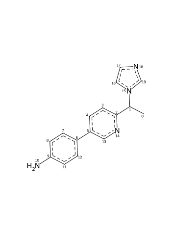 CC(c1ccc(-c2ccc(N)cc2)cn1)n1ccnc1